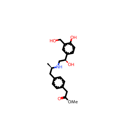 COC(=O)Cc1ccc(C[C@@H](C)NC[C@H](O)c2ccc(O)c(CO)c2)cc1